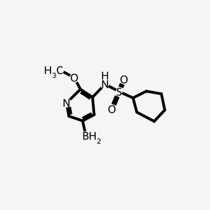 Bc1cnc(OC)c(NS(=O)(=O)C2CCCCC2)c1